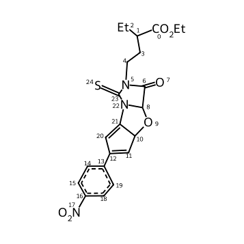 CCOC(=O)C(CC)CCN1C(=O)C2OC3C=C(c4ccc([N+](=O)[O-])cc4)C=C3N2C1=S